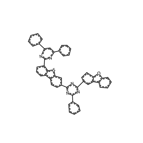 c1ccc(-c2cc(-c3ccccc3)nc(-c3cccc4c3sc3cc(-c5nc(-c6ccccc6)nc(-c6ccc7oc8ccccc8c7c6)n5)ccc34)n2)cc1